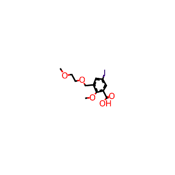 COCCOCc1cc(I)cc(C(=O)O)c1OC